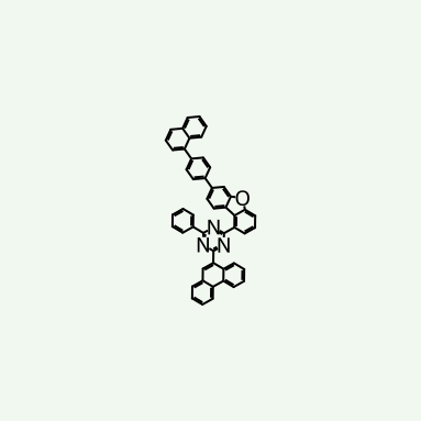 c1ccc(-c2nc(-c3cc4ccccc4c4ccccc34)nc(-c3cccc4oc5cc(-c6ccc(-c7cccc8ccccc78)cc6)ccc5c34)n2)cc1